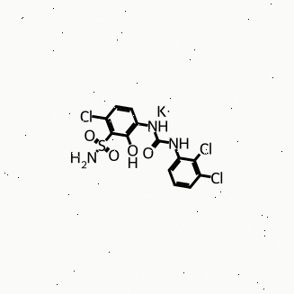 NS(=O)(=O)c1c(Cl)ccc(NC(=O)Nc2cccc(Cl)c2Cl)c1O.[K]